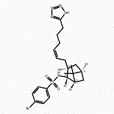 CC1(C)[C@H]2C[C@H](C/C=C\CCCc3nnn[nH]3)[C@@H](NS(=O)(=O)c3ccc(Br)cc3)[C@H]1C2